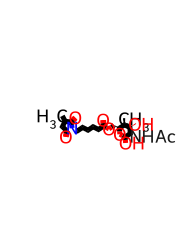 CC(=O)N[C@H]1C(O)O[C@H](COC(=O)CCCCCN2C(=O)CC(C)C2=O)[C@@H](C)[C@@H]1O